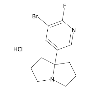 Cl.Fc1ncc(C23CCCN2CCC3)cc1Br